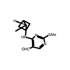 CSc1ncc(C=O)c(NC23CC(C2)[C@H]3C)n1